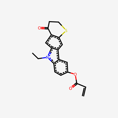 C=CC(=O)Oc1ccc2c(c1)c1cc3c(cc1n2CC)C(=O)CCS3